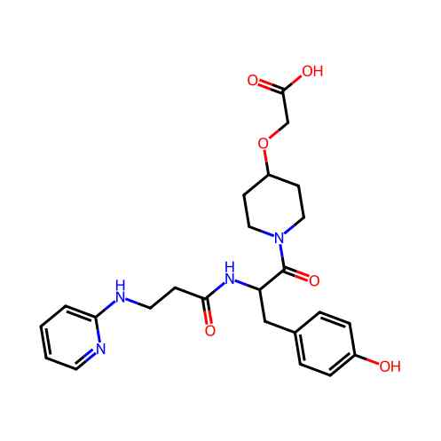 O=C(O)COC1CCN(C(=O)C(Cc2ccc(O)cc2)NC(=O)CCNc2ccccn2)CC1